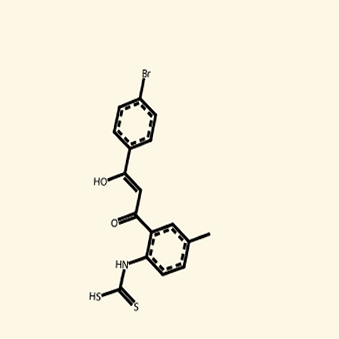 Cc1ccc(NC(=S)S)c(C(=O)C=C(O)c2ccc(Br)cc2)c1